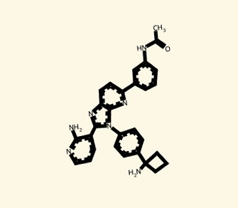 CC(=O)Nc1cccc(-c2ccc3nc(-c4cccnc4N)n(-c4ccc(C5(N)CCC5)cc4)c3n2)c1